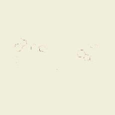 Cn1c(=O)n(C2CCC(=O)NC2=O)c2cccc([C@H]3C[C@H](O[C@@H]4CCN(C[C@H]5CC[C@H](n6cc(NC(=O)c7cnn8ccc(N9C[C@H]%10C[C@@H]9CO%10)nc78)c(C(F)F)n6)CC5)C[C@H]4F)C3)c21